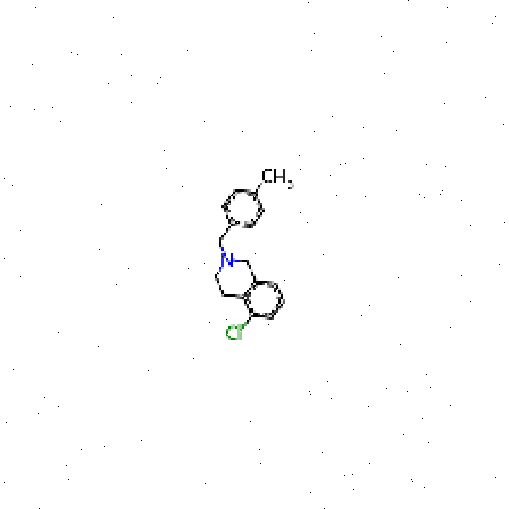 Cc1ccc(CN2CCc3c(Cl)cccc3C2)cc1